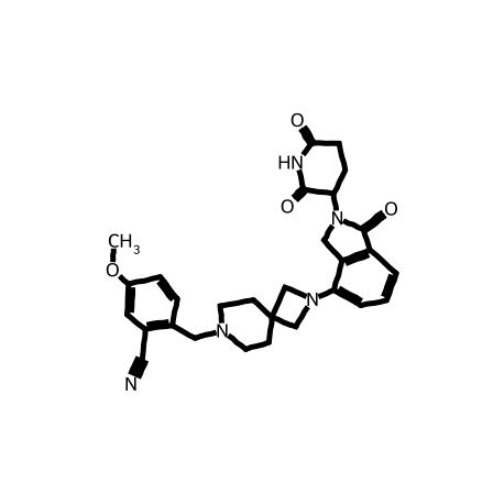 COc1ccc(CN2CCC3(CC2)CN(c2cccc4c2CN(C2CCC(=O)NC2=O)C4=O)C3)c(C#N)c1